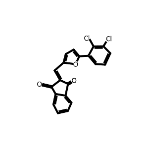 O=C1C(=Cc2ccc(-c3cccc(Cl)c3Cl)o2)C(=O)c2ccccc21